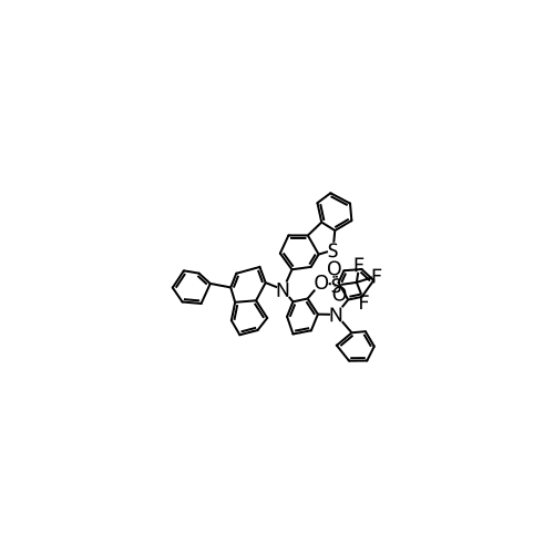 O=S(=O)(Oc1c(N(c2ccccc2)c2ccccc2)cccc1N(c1ccc2c(c1)sc1ccccc12)c1ccc(-c2ccccc2)c2ccccc12)C(F)(F)F